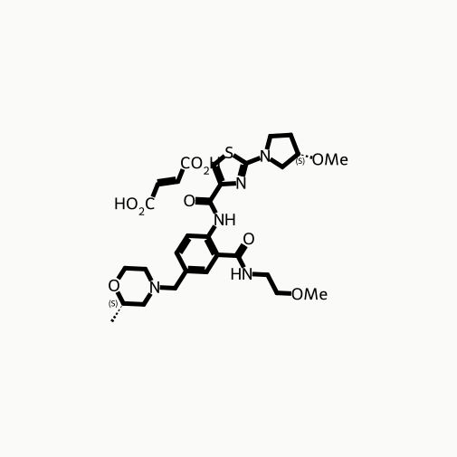 COCCNC(=O)c1cc(CN2CCO[C@@H](C)C2)ccc1NC(=O)c1csc(N2CC[C@H](OC)C2)n1.O=C(O)C=CC(=O)O